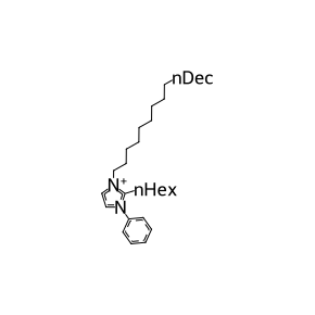 CCCCCCCCCCCCCCCCCCC[n+]1ccn(-c2ccccc2)c1CCCCCC